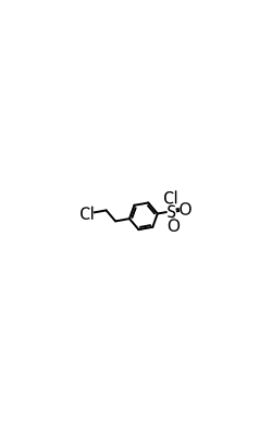 O=S(=O)(Cl)c1ccc(CCCl)cc1